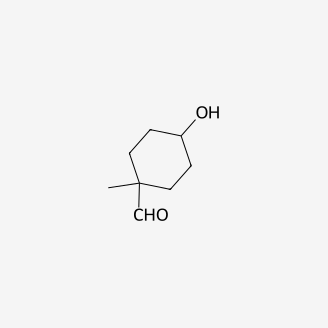 CC1(C=O)CCC(O)CC1